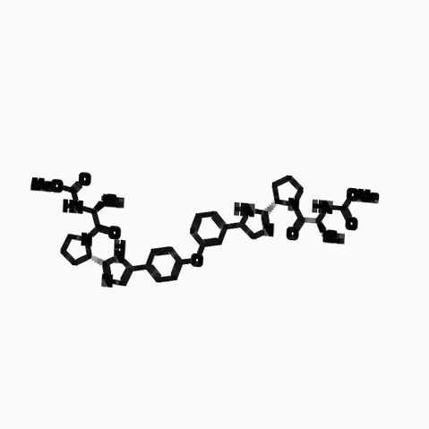 COC(=O)N[C@H](C(=O)N1CCC[C@H]1C1=NCC(c2cccc(Oc3ccc(-c4cnc([C@@H]5CCCN5C(=O)[C@@H](NC(=O)OC)C(C)(C)C)[nH]4)cc3)c2)N1)C(C)(C)C